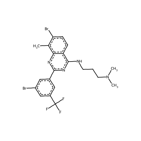 Cc1c(Br)ccc2c(NCCCN(C)C)nc(-c3cc(Br)cc(C(F)(F)F)c3)nc12